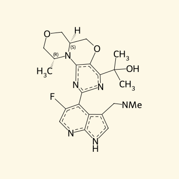 CNCc1c[nH]c2ncc(F)c(-c3nc4c(c(C(C)(C)O)n3)OC[C@@H]3COC[C@@H](C)N43)c12